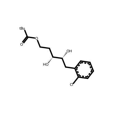 CC(C)(C)C(=O)OCC[C@@H](O)[C@H](O)Cc1ccccc1Cl